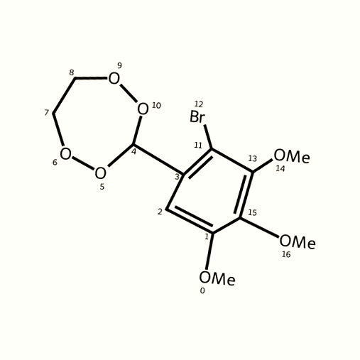 COc1cc(C2OOCCOO2)c(Br)c(OC)c1OC